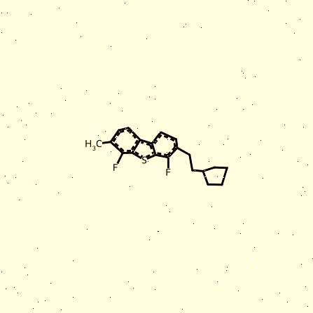 Cc1ccc2c(sc3c(F)c(CCC4CCCC4)ccc32)c1F